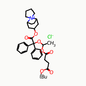 CC(OC(=O)CCC(=O)OC(C)(C)C)OC(C(=O)OC1CC2CCC(C1)[N+]21CCCC1)(c1ccccc1)c1ccccc1.[Cl-]